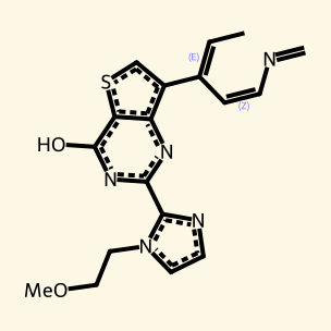 C=N/C=C\C(=C/C)c1csc2c(O)nc(-c3nccn3CCOC)nc12